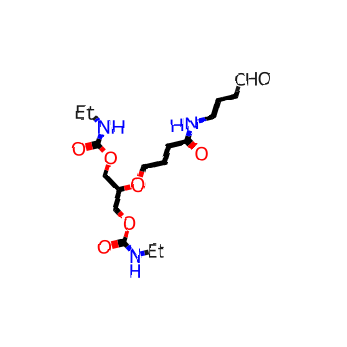 CCNC(=O)OCC(COC(=O)NCC)OCCCC(=O)NCCCC=O